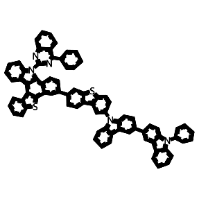 c1ccc(-c2nc(-n3c4ccccc4c4c5c6ccccc6sc5c5cc(-c6ccc7c(c6)sc6ccc(-n8c9ccccc9c9cc(-c%10ccc%11c(c%10)c%10ccccc%10n%11-c%10ccccc%10)ccc98)cc67)ccc5c43)nc3ccccc23)cc1